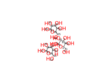 OC[C@H]1OC(O)[C@H](O)[C@@H](O)[C@H]1O.OC[C@H]1OC(O)[C@H](O)[C@@H](O)[C@H]1O.OC[C@H]1O[C@@H](O)[C@H](O)[C@@H](O)[C@H]1O